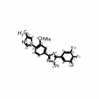 COc1cc(-c2nc(-c3cc(F)c(F)c(F)c3)n(C(C)C)n2)ccc1-n1cnc(C)c1